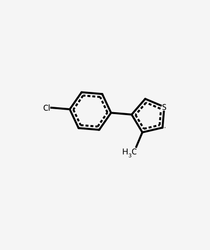 Cc1[c]scc1-c1ccc(Cl)cc1